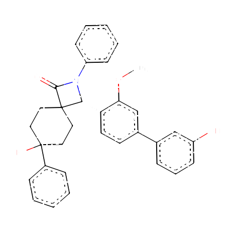 CCCCOc1cc(-c2cccc(O)c2)ccc1[C@H]1N(c2ccccc2)C(=O)C12CCC(O)(c1ccccc1)CC2